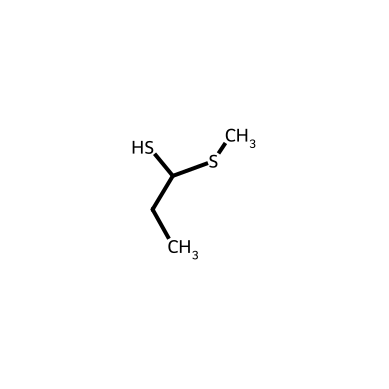 CCC(S)SC